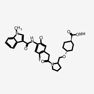 COC(=O)[C@H]1CC[C@H](OCC2CCCN2C(=O)Cc2cc(Cl)c(NC(=O)c3cn(C)c4ccccc34)cc2F)CC1